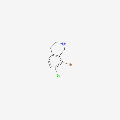 Clc1ccc2c(c1Br)CNCC2